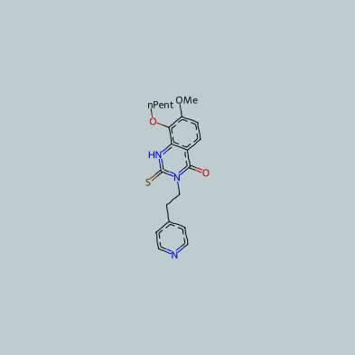 CCCCCOc1c(OC)ccc2c(=O)n(CCc3ccncc3)c(=S)[nH]c12